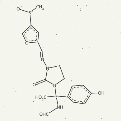 C[S+]([O-])c1coc(C=NN2CCN(C(NC=O)(C(=O)O)c3ccc(O)cc3)C2=O)c1